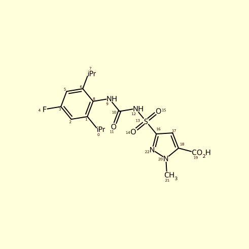 CC(C)c1cc(F)cc(C(C)C)c1NC(=O)NS(=O)(=O)c1cc(C(=O)O)n(C)n1